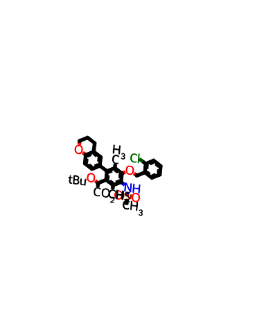 Cc1c(OCc2ccccc2Cl)c(NS(C)(=O)=O)c(C)c(C(OC(C)(C)C)C(=O)O)c1-c1ccc2c(c1)CCCO2